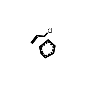 C=CCCl.c1ccccc1